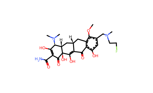 COc1c(CN(C)CCF)cc(O)c2c1C[C@H]1C[C@H]3[C@H](N(C)C)C(O)=C(C(N)=O)C(=O)[C@@]3(O)C(O)=C1C2=O